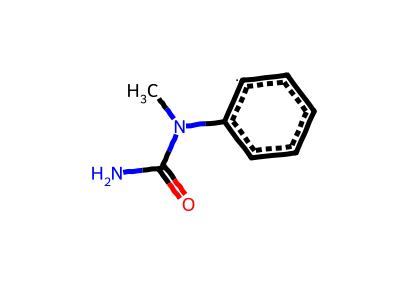 CN(C(N)=O)c1[c]cccc1